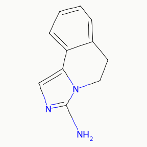 Nc1ncc2n1CCc1ccccc1-2